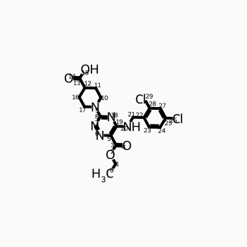 CCOC(=O)c1nnc(N2CCC(C(=O)O)CC2)nc1NCc1ccc(Cl)cc1Cl